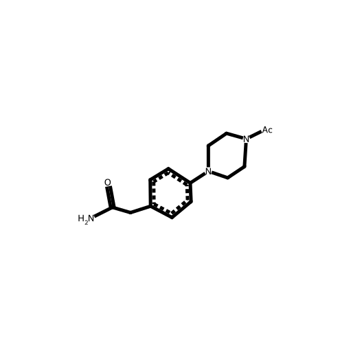 CC(=O)N1CCN(c2ccc(CC(N)=O)cc2)CC1